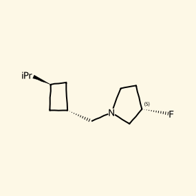 CC(C)[C@H]1C[C@H](CN2CC[C@H](F)C2)C1